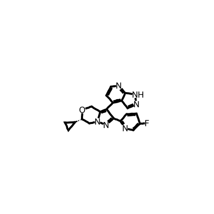 Fc1ccc(-c2nn3c(c2-c2ccnc4[nH]ncc24)CO[C@@H](C2CC2)C3)nc1